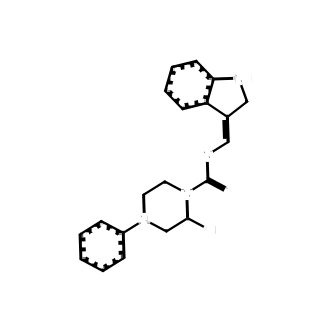 CC1CN(c2ccccc2)CCN1C(=S)N/C=C1/CNc2ccccc21